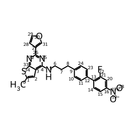 Cc1cc2c(NCCCc3ccc(-c4ccc([N+](=O)[O-])cc4F)cc3)nc(-c3ccoc3)nc2s1